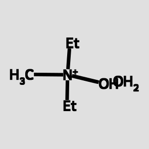 CC[N+](C)(O)CC.O